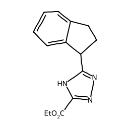 CCOC(=O)c1nnc(C2CCc3ccccc32)[nH]1